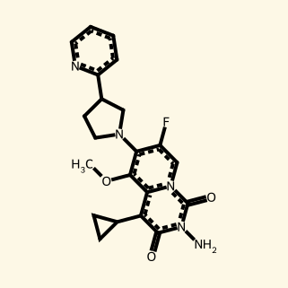 COc1c(N2CCC(c3ccccn3)C2)c(F)cn2c(=O)n(N)c(=O)c(C3CC3)c12